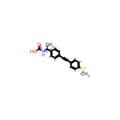 CSc1ccc(C#Cc2ccc([C@H](C)NC(=O)O)cc2)cc1